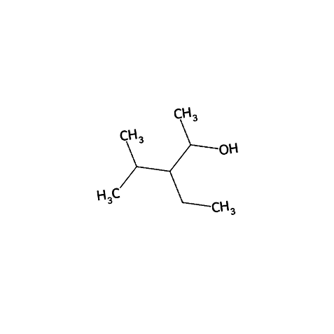 CCC(C(C)C)C(C)O